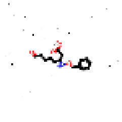 COC(=O)CC(CCCCC=O)NOCc1ccccc1